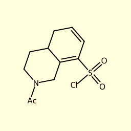 CC(=O)N1CCC2CC=CC(S(=O)(=O)Cl)=C2C1